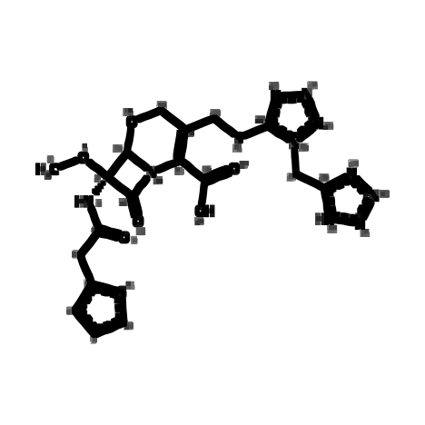 CO[C@]1(NC(=O)Cc2cccs2)C(=O)N2C(C(=O)O)=C(CSc3nnnn3Cc3nnn[nH]3)COC21